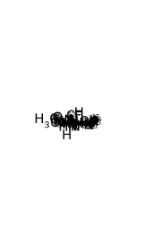 CS(=O)(=O)N1CCC(Nc2nc(C(F)(F)F)nc3c(NCC(O)CN4CCc5ccccc5C4)n[nH]c23)CC1